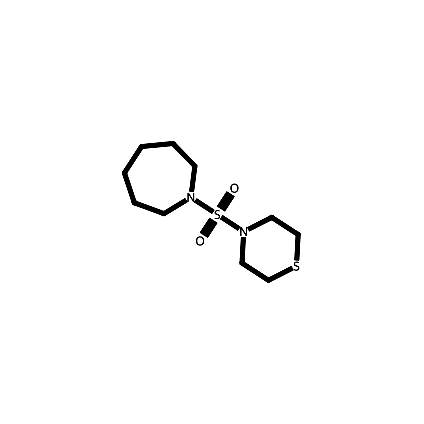 O=S(=O)(N1CCCCCC1)N1CCSCC1